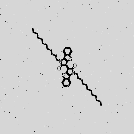 CCCCCCCCCCCCN1C(=O)/C(=C2/C(=O)N(CCCCCCCCCCCC)c3c2sc2ccccc32)c2sc3ccccc3c21